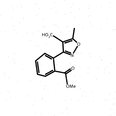 COC(=O)c1ccccc1-c1noc(C)c1C(=O)O